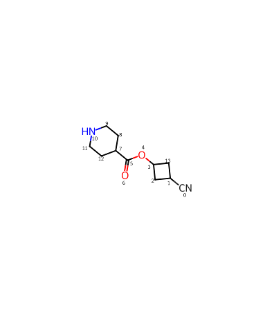 N#CC1CC(OC(=O)C2CCNCC2)C1